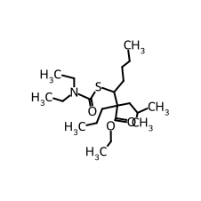 CCCCC(SC(=O)N(CC)CC)C(CCC)(CC(C)C)C(=O)OCC